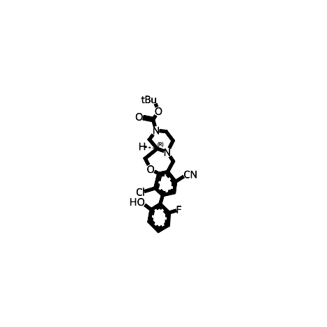 CC(C)(C)OC(=O)N1CCN2Cc3c(C#N)cc(-c4c(O)cccc4F)c(Cl)c3OC[C@H]2C1